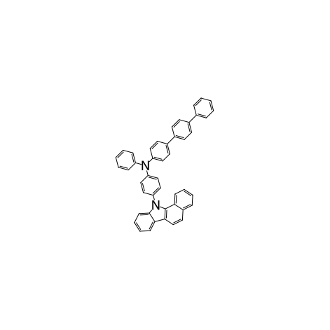 c1ccc(-c2ccc(-c3ccc(N(c4ccccc4)c4ccc(-n5c6ccccc6c6ccc7ccccc7c65)cc4)cc3)cc2)cc1